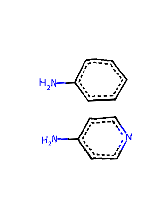 Nc1ccccc1.Nc1ccncc1